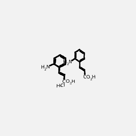 Cl.Nc1ccccc1C=CC(=O)O.Nc1ccccc1C=CC(=O)O